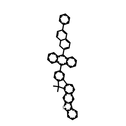 CC1(C)c2ccc(-c3c4ccccc4c(C4=CC=C5C=C(c6ccccc6)C=CC5C4)c4ccccc34)cc2-c2ccc3cc4c(cc3c21)sc1ccccc14